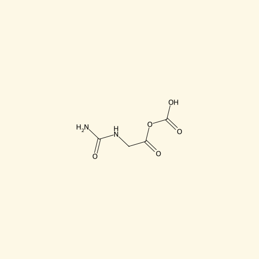 NC(=O)NCC(=O)OC(=O)O